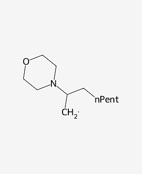 [CH2]C(CCCCCC)N1CCOCC1